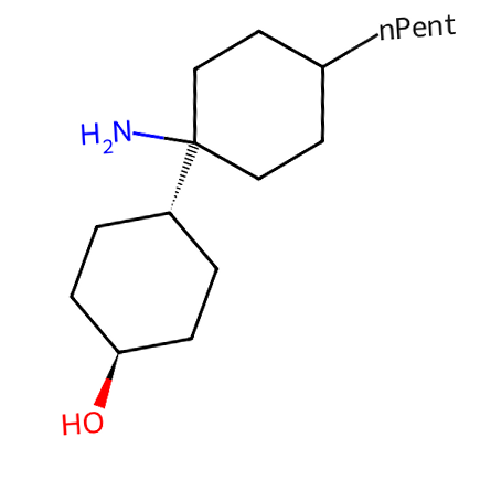 CCCCCC1CCC(N)([C@H]2CC[C@H](O)CC2)CC1